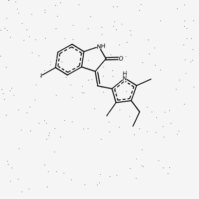 CCc1c(C)[nH]c(C=C2C(=O)Nc3ccc(I)cc32)c1C